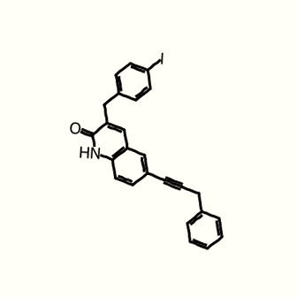 O=c1[nH]c2ccc(C#CCc3ccccc3)cc2cc1Cc1ccc(I)cc1